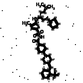 Cc1cc(S(=O)(=O)NC(=O)c2ccc(N3CCC(=Cc4ccccc4C(F)(F)F)CC3)cc2)sc1N[C@H](CCN(C)C)CSc1ccccc1